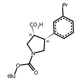 CC(C)c1cccc([C@@H]2CN(C(=O)OC(C)(C)C)C[C@@H]2C(=O)O)c1